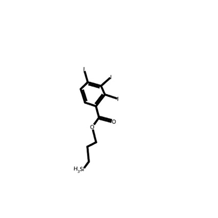 O=C(OCCC[SiH3])c1ccc(I)c(I)c1I